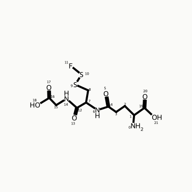 NC(CCC(=O)NC(CSSF)C(=O)NCC(=O)O)C(=O)O